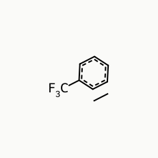 CC.FC(F)(F)c1ccccc1